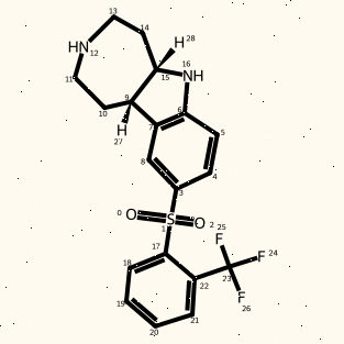 O=S(=O)(c1ccc2c(c1)[C@@H]1CCNCC[C@@H]1N2)c1ccccc1C(F)(F)F